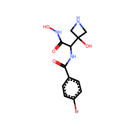 O=C(NC(C(=O)NO)C1(O)CNC1)c1ccc(Br)cc1